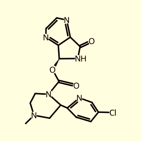 CN1CCN(C(=O)O[C@@H]2NC(=O)c3nccnc32)C(c2ccc(Cl)cn2)C1